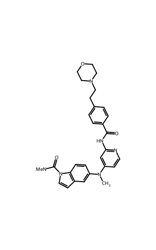 CNC(=O)n1ccc2cc(N(C)c3ccnc(NC(=O)c4ccc(CCN5CCOCC5)cc4)c3)ccc21